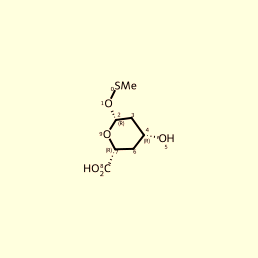 CSO[C@@H]1C[C@H](O)C[C@H](C(=O)O)O1